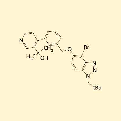 CC(C)(C)Cn1nnc2c(Br)c(OCc3cccc(-c4ccncc4C(C)(C)O)c3)ccc21